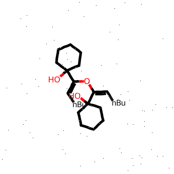 CCCCC=C(OC(=CCCCC)C1(O)CCCCC1)C1(O)CCCCC1